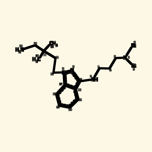 CCN(CC)CCCNc1nn(CCC(C)(C)CN)c2ccccc12